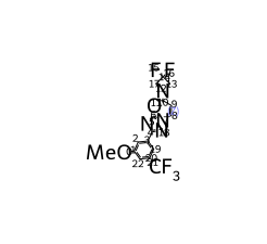 COc1cc(-c2ncn(/C=C\C(=O)N3CC(F)(F)C3)n2)cc(C(F)(F)F)c1